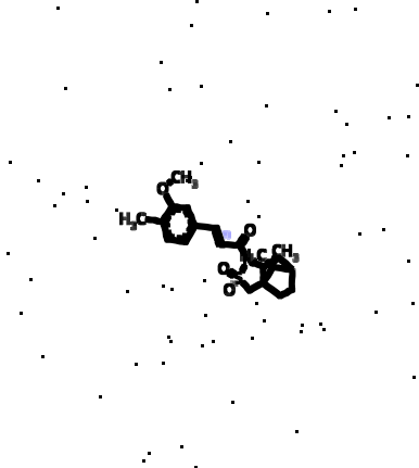 COc1cc(/C=C/C(=O)N2C3CC4CCC3(CS2(=O)=O)C4(C)C)ccc1C